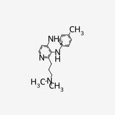 Cc1ccc(Nc2c(N)ccnc2CCCN(C)C)cc1